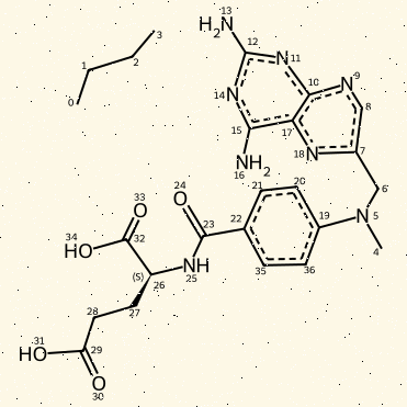 CCCC.CN(Cc1cnc2nc(N)nc(N)c2n1)c1ccc(C(=O)N[C@@H](CCC(=O)O)C(=O)O)cc1